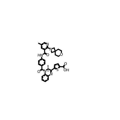 Cc1cnc(N2CC3(CCOCC3)C2)c(C(=O)Nc2ccc(C(=O)N3c4ccccc4N=C(c4ccc(C(=O)O)s4)[C@@H]3C)cc2)c1